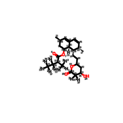 [2H]C([2H])([2H])[C@H](C(=O)O[C@H]1C[C@@H](C)C=C2C=C[C@H](C)[C@H](CCC3C[C@@H](O)C([2H])([2H])C(=O)O3)[C@H]21)C([2H])([2H])C([2H])([2H])[2H]